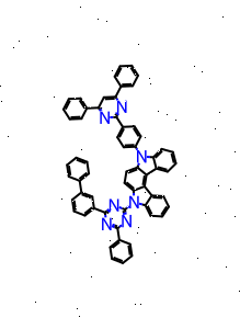 c1ccc(-c2cccc(-c3nc(-c4ccccc4)nc(-n4c5ccccc5c5c6c7ccccc7n(-c7ccc(-c8nc(-c9ccccc9)cc(-c9ccccc9)n8)cc7)c6ccc54)n3)c2)cc1